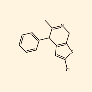 CC1=NCc2sc(Cl)cc2C1c1ccccc1